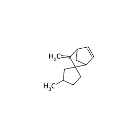 C=C1C2C=CC(C2)C12CCC(C)C2